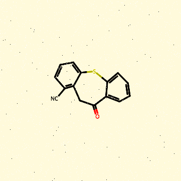 N#Cc1cccc2c1CC(=O)c1ccccc1S2